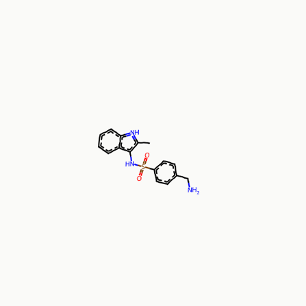 Cc1[nH]c2ccccc2c1NS(=O)(=O)c1ccc(CN)cc1